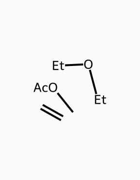 C=C.CCOCC.COC(C)=O